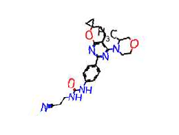 CC1COCCN1c1nc(-c2ccc(NC(=O)NCCC#N)cc2)nc2c1CCC1(CC1)O2